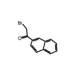 O=C(CBr)c1ccc2ccccc2c1